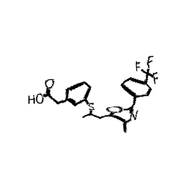 Cc1nc(-c2ccc(C(F)(F)F)cc2)oc1CC(C)Sc1cccc(CC(=O)O)c1